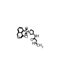 CNCC(=O)N[C@@H]1CCN(S(=O)(=O)c2cccc3cncc(Cl)c23)C1